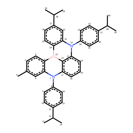 Cc1ccc2c(c1)N(c1ccc(C(C)C)cc1)c1cccc3c1B2c1ccc(C(C)C)cc1N3c1ccc(C(C)C)cc1